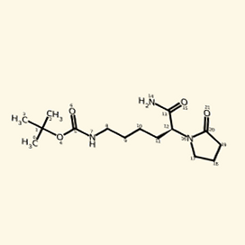 CC(C)(C)OC(=O)NCCCC[C@@H](C(N)=O)N1CCCC1=O